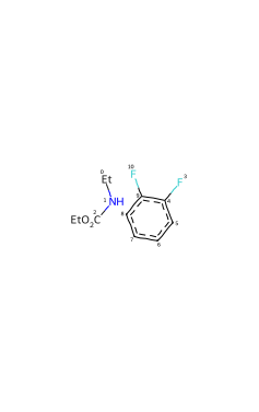 CCNC(=O)OCC.Fc1ccccc1F